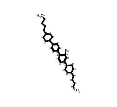 CCCCCC1CCC(c2ccc(-c3ccc(C4CCC(CCCCC)CC4)cc3F)cc2)CC1